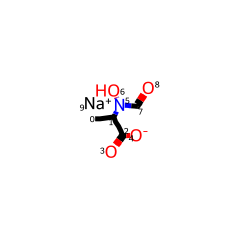 CC(C(=O)[O-])N(O)C=O.[Na+]